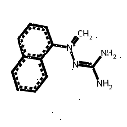 C=[N+](N=C(N)N)c1cccc2ccccc12